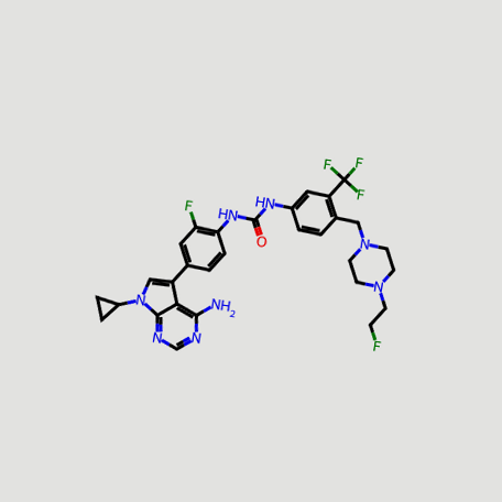 Nc1ncnc2c1c(-c1ccc(NC(=O)Nc3ccc(CN4CCN(CCF)CC4)c(C(F)(F)F)c3)c(F)c1)cn2C1CC1